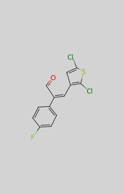 O=CC(=Cc1cc(Cl)sc1Cl)c1ccc(F)cc1